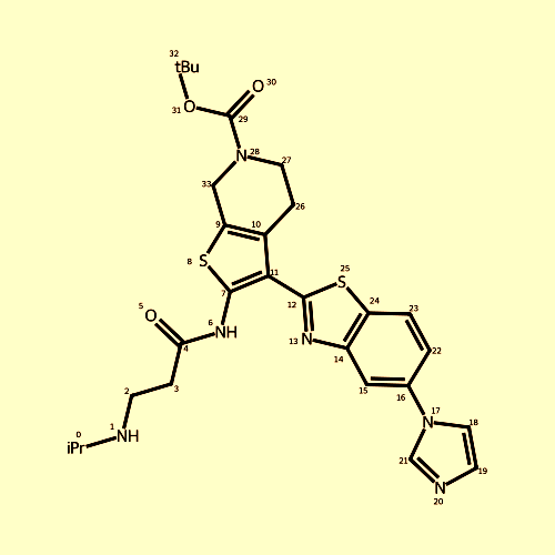 CC(C)NCCC(=O)Nc1sc2c(c1-c1nc3cc(-n4ccnc4)ccc3s1)CCN(C(=O)OC(C)(C)C)C2